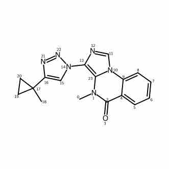 Cn1c(=O)c2ccccc2n2cnc(-n3cc(C4(C)CC4)nn3)c12